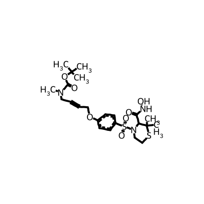 CN(CC#CCOc1ccc(S(=O)(=O)N2CCSC(C)(C)C2C(=O)NO)cc1)C(=O)OC(C)(C)C